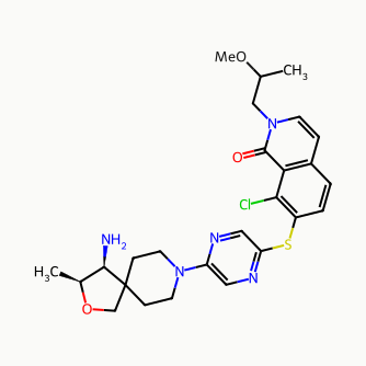 COC(C)Cn1ccc2ccc(Sc3cnc(N4CCC5(CC4)CO[C@@H](C)[C@H]5N)cn3)c(Cl)c2c1=O